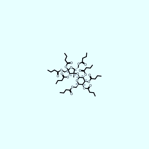 CCCC(=O)OC[C@H]1O[C@@H](O[C@]2(C)[C@H](OC(=O)CCC)[C@](COC(=O)CCC)(OC(=O)CCC)O[C@@H]2COC(=O)CCC)[C@H](OC(=O)CCC)[C@@H](OC(=O)CCC)[C@H]1OC(=O)CCC